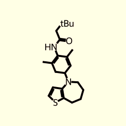 CC1=CC(N2CCCCc3sccc32)CC(C)=C1NC(=O)CC(C)(C)C